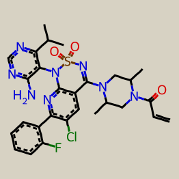 C=CC(=O)N1CC(C)N(C2=NS(=O)(=O)N(c3c(N)ncnc3C(C)C)c3nc(-c4ccccc4F)c(Cl)cc32)CC1C